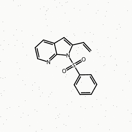 C=Cc1cc2cccnc2n1S(=O)(=O)c1ccccc1